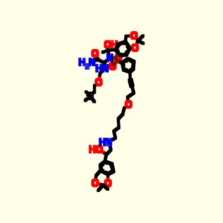 CC1(C)OCc2cc([C@@H](O)CNCCCCCCOCCC#Cc3cccc(S(=O)(=O)N(C(NCOCC[Si](C)(C)C)C(N)=O)[C@](C)(O)c4ccc5c(c4)COC(C)(C)O5)c3)ccc2O1